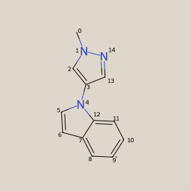 Cn1cc(-n2ccc3c[c]ccc32)cn1